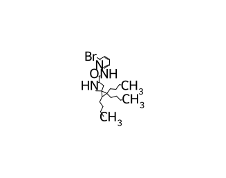 CCCCC1C(CCCC)(CCCC)C12CNC(C(=O)Nc1cccc(Br)n1)C2